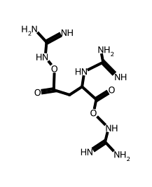 N=C(N)NOC(=O)CC(NC(=N)N)C(=O)ONC(=N)N